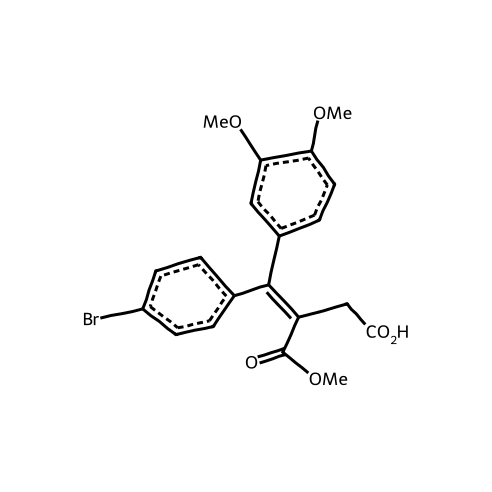 COC(=O)C(CC(=O)O)=C(c1ccc(Br)cc1)c1ccc(OC)c(OC)c1